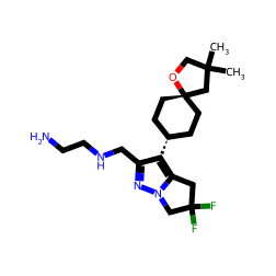 CC1(C)CO[C@]2(CC[C@@H](c3c(CNCCN)nn4c3CC(F)(F)C4)CC2)C1